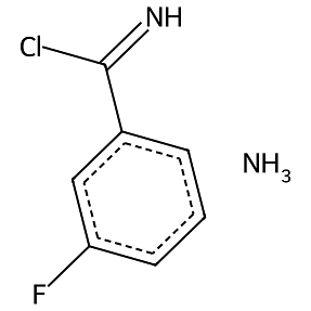 N.N=C(Cl)c1cccc(F)c1